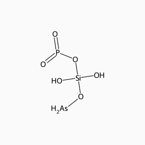 O=P(=O)O[Si](O)(O)O[AsH2]